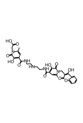 Cc1cc(C(=O)NCCNCCNC(=O)c2cc(C)n(Cc3c(O)c4ccccc4oc3=O)c(=O)c2O)c(O)c(=O)n1CC(=O)O